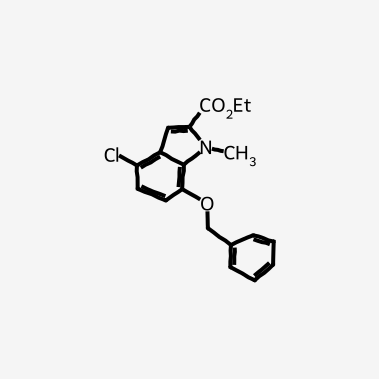 CCOC(=O)c1cc2c(Cl)ccc(OCc3ccccc3)c2n1C